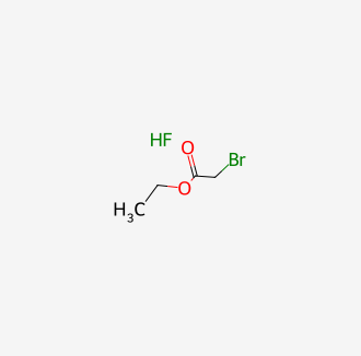 CCOC(=O)CBr.F